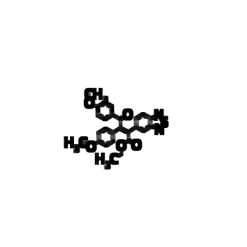 CCOC(=O)C(=C(C(=O)c1ccc(OC)cc1)c1ccc(OC)cc1)c1ccc2nsnc2c1